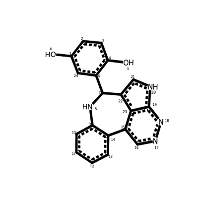 Oc1ccc(O)c(C2Nc3ccccc3-c3cnnc4[nH]cc2c34)c1